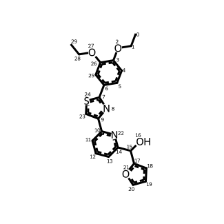 CCOc1ccc(-c2nc(-c3cccc(C(O)c4ccco4)n3)cs2)cc1OCC